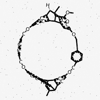 COC(=O)C1=C(C)[C@H]2c3ccc4cc3C1c1ccc(cc12)OCc1ccc(cc1)COc1ccc2c(c1)C1C(C)=C[C@@H]2c2cc(ccc21)OCc1ccc(cc1)CO4